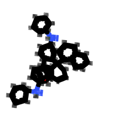 C1=Cc2ccccc2C(c2cc(Nc3ccccc3)ccc2-c2ccc(Nc3ccccc3)cc2)(c2cccc3ccccc23)C1